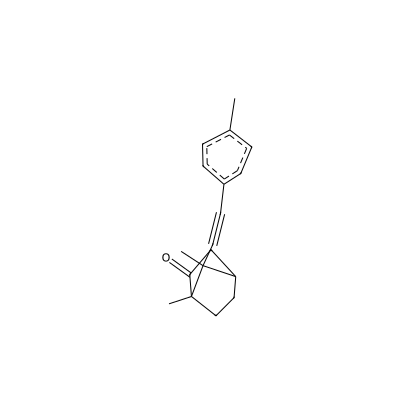 Cc1ccc(C#CC2(C)C3CCC2(C)C(=O)C3)cc1